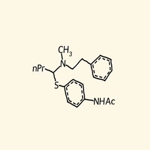 CCCC(Sc1ccc(NC(C)=O)cc1)N(C)CCc1ccccc1